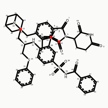 O=C1CCC(N2C(=O)c3ccc(CN4CC5CC(C4)N5CC[C@H](CSc4ccccc4)Nc4ccc(S(=O)(=O)NC(=O)c5ccccc5)cc4S(=O)(=O)C(F)(F)F)c(F)c3C2=O)C(=O)N1